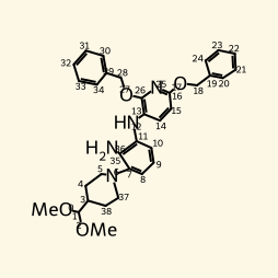 COC(OC)C1CCN(c2cccc(Nc3ccc(OCc4ccccc4)nc3OCc3ccccc3)c2N)CC1